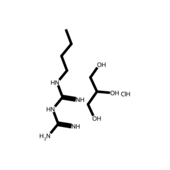 CCCCNC(=N)NC(=N)N.Cl.OCC(O)CO